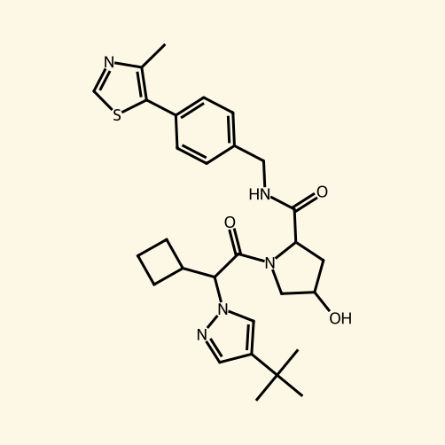 Cc1ncsc1-c1ccc(CNC(=O)C2CC(O)CN2C(=O)C(C2CCC2)n2cc(C(C)(C)C)cn2)cc1